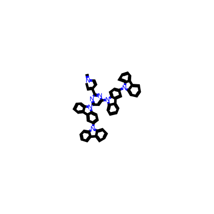 C=N/C=C\C(=C/C)c1nc(-n2c3ccccc3c3cc(-n4c5ccccc5c5ccccc54)ccc32)cc(-n2c3ccccc3c3cc(-n4c5ccccc5c5ccccc54)ccc32)n1